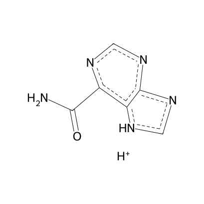 NC(=O)c1ncnc2nc[nH]c12.[H+]